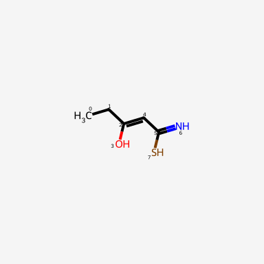 CC/C(O)=C/C(=N)S